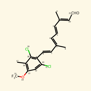 CC(C=CC=C(C)C=Cc1c(Cl)cc(OC(F)(F)F)c(C)c1Cl)=CC=O